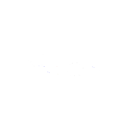 CCc1cccc[n+]1NS(=O)(=O)c1ccc(N)c(Cl)c1.[Cl-]